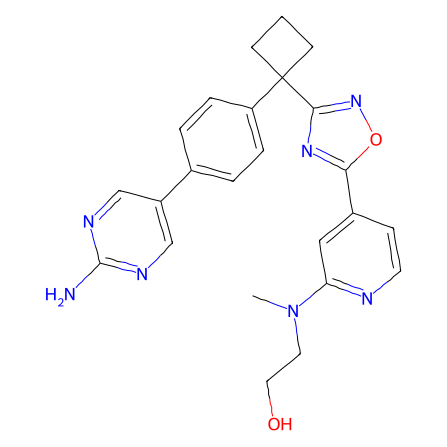 CN(CCO)c1cc(-c2nc(C3(c4ccc(-c5cnc(N)nc5)cc4)CCC3)no2)ccn1